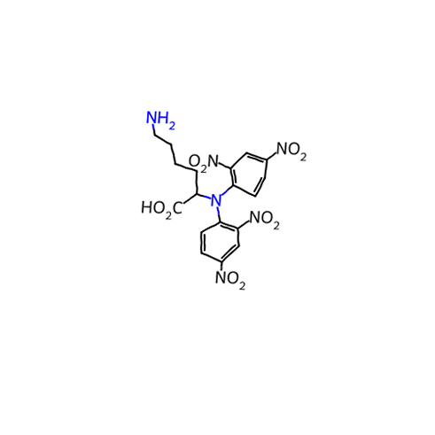 NCCCCC(C(=O)O)N(c1ccc([N+](=O)[O-])cc1[N+](=O)[O-])c1ccc([N+](=O)[O-])cc1[N+](=O)[O-]